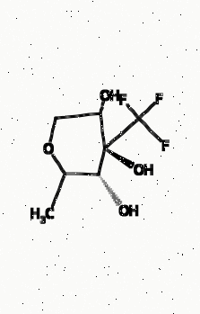 CC1OCC(O)[C@](O)(C(F)(F)F)[C@@H]1O